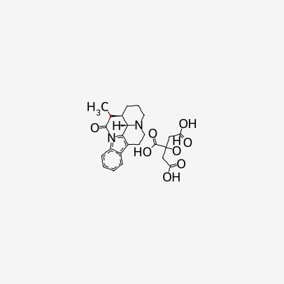 CC[C@]12CCCN3CCc4c(n(c5ccccc45)C(=O)C1)[C@@H]32.O=C(O)CC(O)(CC(=O)O)C(=O)O